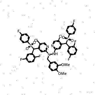 COc1ccc(CN(Nc2cc(C(c3cc(F)ccc3F)S(=O)(=O)c3ccc(F)cc3)c(Cl)cn2)c2cc(C(c3cc(F)ccc3F)S(=O)(=O)c3ccc(F)cc3)c(Cl)cn2)cc1OC